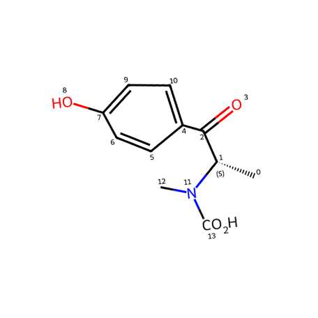 C[C@@H](C(=O)c1ccc(O)cc1)N(C)C(=O)O